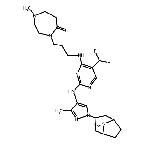 Cc1nn(C2CC3CCC(C2)N3C)cc1Nc1ncc(C(F)F)c(NCCCN2CCN(C)CCC2=O)n1